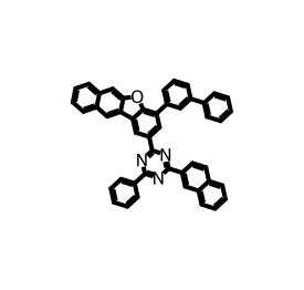 c1ccc(-c2cccc(-c3cc(-c4nc(-c5ccccc5)nc(-c5ccc6ccccc6c5)n4)cc4c3oc3cc5ccccc5cc34)c2)cc1